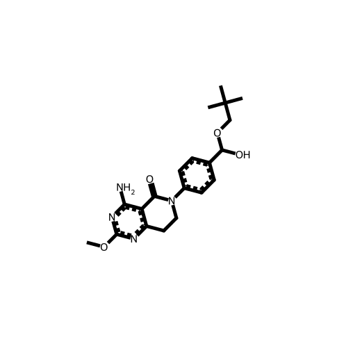 COc1nc(N)c2c(n1)CCN(c1ccc(C(O)OCC(C)(C)C)cc1)C2=O